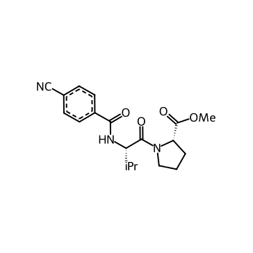 COC(=O)[C@@H]1CCCN1C(=O)[C@@H](NC(=O)c1ccc(C#N)cc1)C(C)C